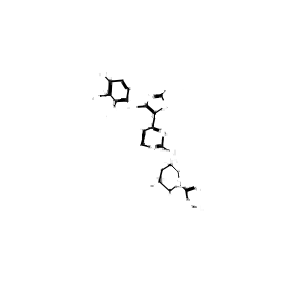 Cc1nc(Oc2ccc(Br)c(F)c2C)c(-c2ccnc(N[C@H]3C[C@H](F)CN(C(=O)OC(C)(C)C)C3)n2)s1